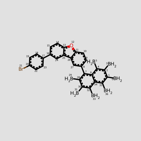 Bc1c(B)c(B)c2c(-c3ccc4oc5ccc(-c6ccc(Br)cc6)cc5c4c3)c(B)c(B)c(B)c2c1B